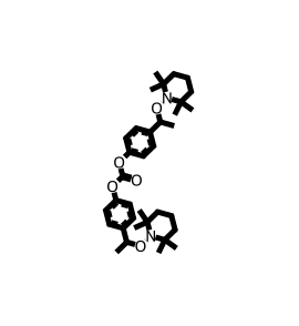 CC(ON1C(C)(C)CCCC1(C)C)c1ccc(OC(=O)Oc2ccc(C(C)ON3C(C)(C)CCCC3(C)C)cc2)cc1